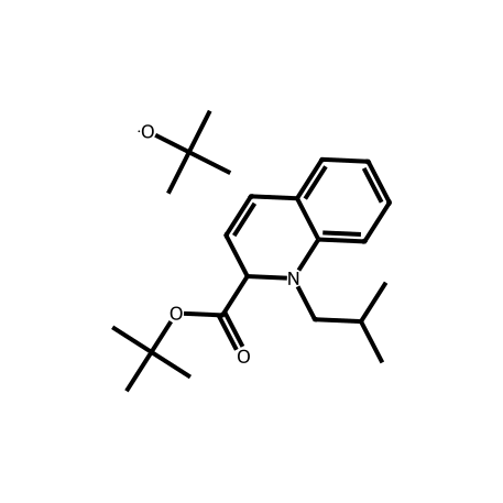 CC(C)(C)[O].CC(C)CN1c2ccccc2C=CC1C(=O)OC(C)(C)C